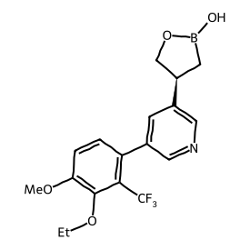 CCOc1c(OC)ccc(-c2cncc([C@H]3COB(O)C3)c2)c1C(F)(F)F